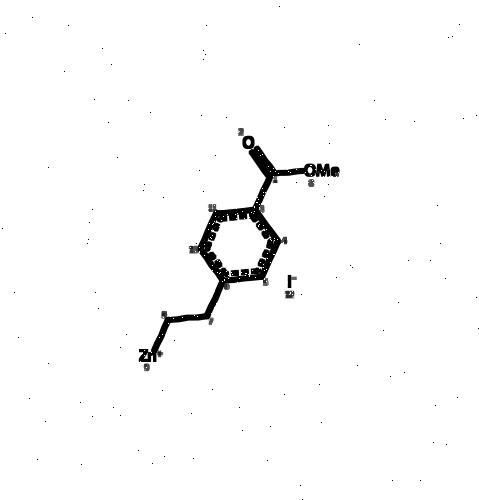 COC(=O)c1ccc(C[CH2][Zn+])cc1.[I-]